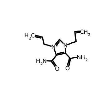 C=CCn1c[n+](CC=C)c(C(N)=O)c1C(N)=O